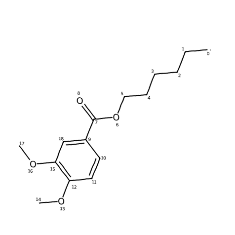 [CH2]CCCCCOC(=O)c1ccc(OC)c(OC)c1